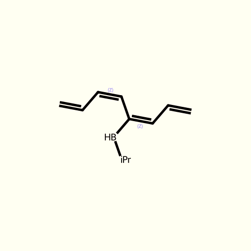 C=C/C=C\C(BC(C)C)=C/C=C